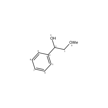 COCC(O)c1ccccc1